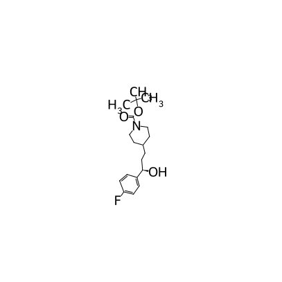 CC(C)(C)OC(=O)N1CCC(CC[C@@H](O)c2ccc(F)cc2)CC1